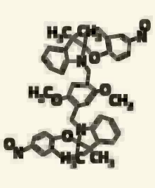 COc1cc(CN2c3ccccc3C(C)(C)C23C=Cc2cc(N=O)ccc2O3)c(OC)cc1CN1c2ccccc2C(C)(C)C12C=Cc1cc(N=O)ccc1O2